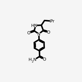 CC(C)CC1NC(=O)N(c2ccc(C(N)=O)cc2)C1=O